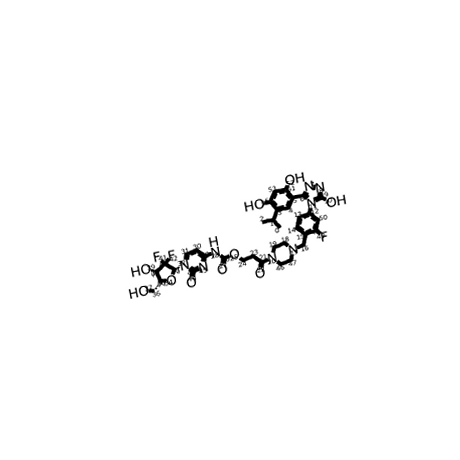 CC(C)c1cc(-c2nnc(O)n2-c2ccc(CN3CCN(C(=O)CCOC(=O)Nc4ccn([C@@H]5O[C@H](CO)[C@@H](O)C5(F)F)c(=O)n4)CC3)c(F)c2)c(O)cc1O